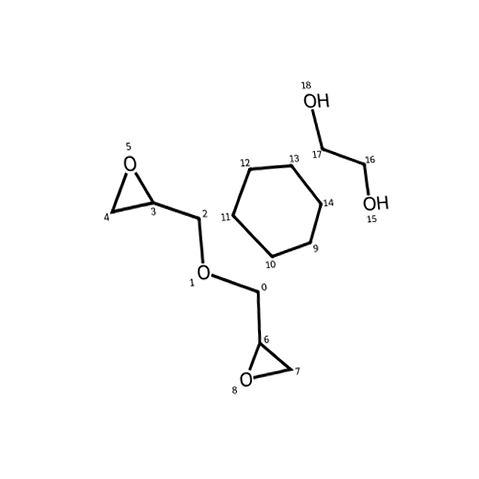 C(OCC1CO1)C1CO1.C1CCCCC1.OCCO